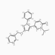 CC(C)n1nc(-c2cc(OCc3cccnc3)nn2-c2ccccc2)ccc1=O